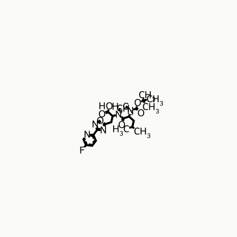 CC(C)CC(C(=O)N(C)C(Cc1nc(-c2ccc(F)cn2)no1)C(=O)O)N(C)C(=O)OC(C)(C)C